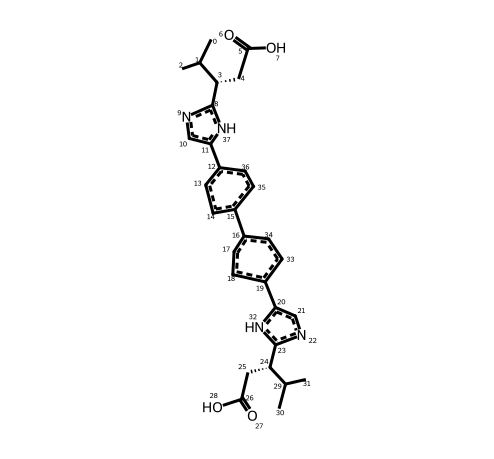 CC(C)[C@H](CC(=O)O)c1ncc(-c2ccc(-c3ccc(-c4cnc([C@@H](CC(=O)O)C(C)C)[nH]4)cc3)cc2)[nH]1